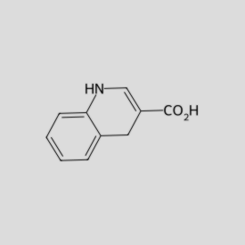 O=C(O)C1=CNc2ccccc2C1